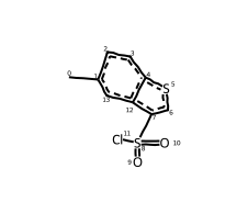 Cc1ccc2scc(S(=O)(=O)Cl)c2c1